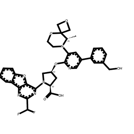 C[C@@H]1N(c2cc(-c3cccc(CO)c3)cnc2O[C@H]2C[C@@H](C(=O)O)N(c3nc(C(F)F)nc4c3oc3ccccc34)C2)CCOC12COC2